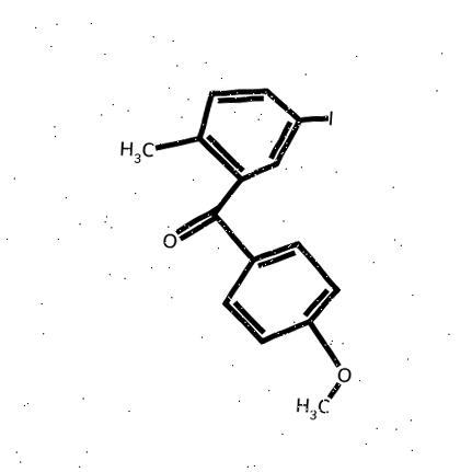 COc1ccc(C(=O)c2cc(I)ccc2C)cc1